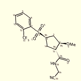 CO[C@@H]1C[C@H](S(=O)(=O)c2ccccc2C(F)(F)F)C[C@H]1C(=O)NCC#N